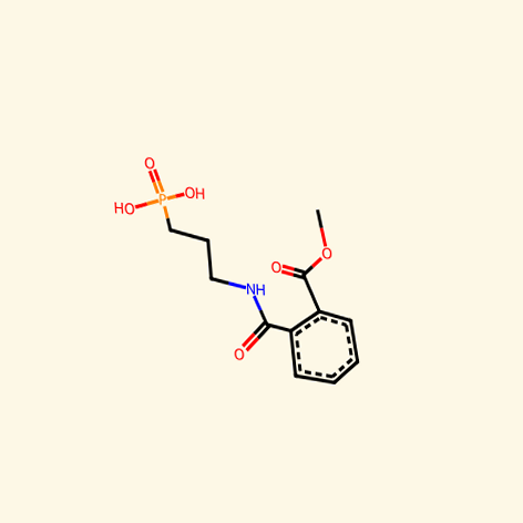 COC(=O)c1ccccc1C(=O)NCCCP(=O)(O)O